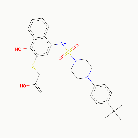 C=C(O)CSc1cc(NS(=O)(=O)N2CCN(c3ccc(C(C)(C)C)cc3)CC2)c2ccccc2c1O